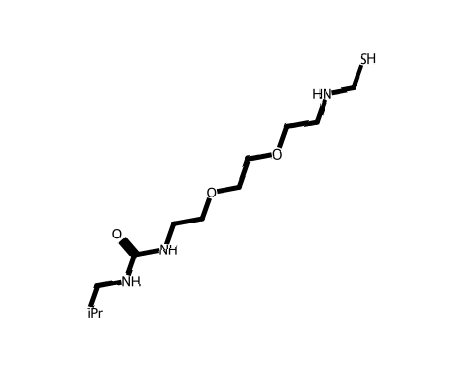 CC(C)CNC(=O)NCCOCCOCCNCS